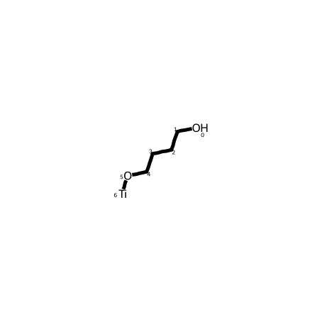 OCCCC[O][Ti]